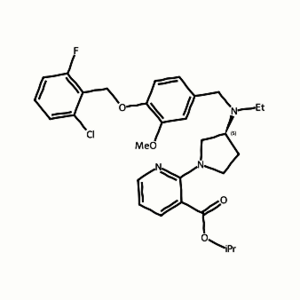 CCN(Cc1ccc(OCc2c(F)cccc2Cl)c(OC)c1)[C@H]1CCN(c2ncccc2C(=O)OC(C)C)C1